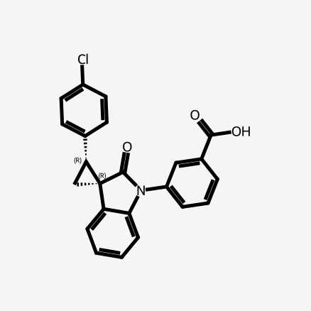 O=C(O)c1cccc(N2C(=O)[C@@]3(C[C@@H]3c3ccc(Cl)cc3)c3ccccc32)c1